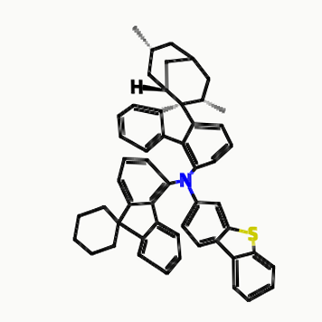 C[C@@H]1CC2C[C@@H](C1)[C@@]1(c3ccccc3-c3c(N(c4ccc5c(c4)sc4ccccc45)c4cccc5c4-c4ccccc4C54CCCCC4)cccc31)[C@@H](C)C2